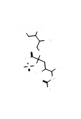 CC(=O)NC(C)C(O)CC(OCC(O)C(C)CO)(OP(C)(=O)O)C(=O)O